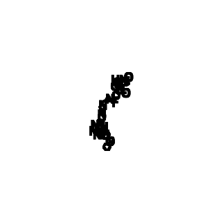 Nc1ncnc2c1c(-c1ccc(Oc3ccccc3)cc1)nn2C1CCN(C2CN(CC3CN(c4cc5c(cc4F)C(=O)N(C4CCC(=O)NC4=O)C5=O)C3)C2)CC1